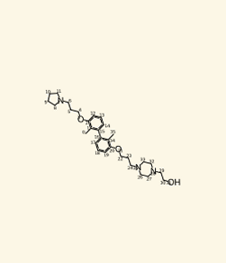 Cc1c(OCCCN2CCCC2)cccc1-c1cccc(OCCCN2CCN(CCO)CC2)c1C